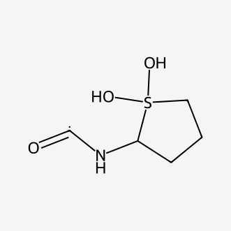 O=[C]NC1CCCS1(O)O